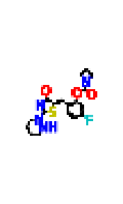 O=C1N=C(N2CCCCN2)SC1=Cc1ccc(F)cc1OC(=O)N1CCC1